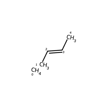 C.CC=CC